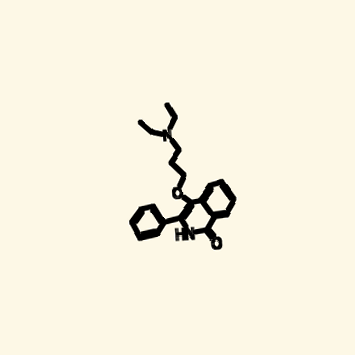 CCN(CC)CCCOc1c(-c2ccccc2)[nH]c(=O)c2ccccc12